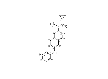 NN(C(=O)C1CC1)C1C=c2ccc(OC3=CNCN=C3)cc2=CN1